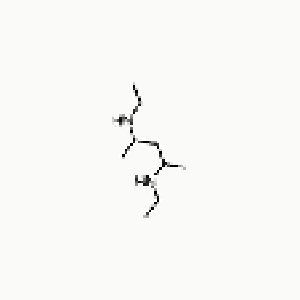 CCNC(C)CC(C)NCC